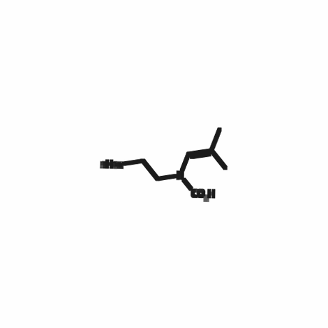 CCCCCCCCN(C=C(C)C)C(=O)O